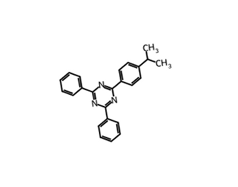 CC(C)c1ccc(-c2nc(-c3ccccc3)nc(-c3ccccc3)n2)cc1